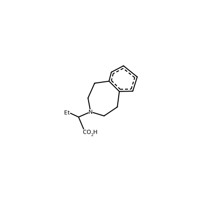 CCC(C(=O)O)N1CCc2ccccc2CC1